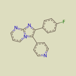 Fc1ccc(-c2nc3ncccn3c2-c2ccncc2)cc1